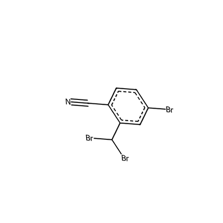 N#Cc1ccc(Br)cc1C(Br)Br